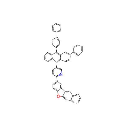 c1ccc(-c2ccc(-c3c4ccccc4c(-c4ccc(-c5ccc6oc7cc8ccccc8cc7c6c5)nc4)c4ccc(-c5ccccc5)cc34)cc2)cc1